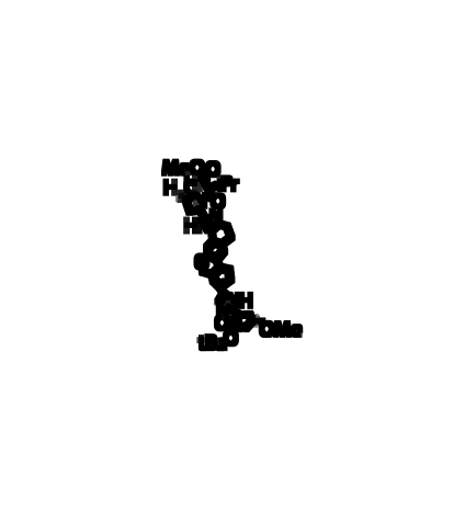 COC[C@H]1CC(c2ncc(-c3ccc4c(c3)COc3cc5c(cc3-4)CCc3nc(C4CCC(C)N4C(=O)C(NC(=O)OC)C(C)C)[nH]c3-5)[nH]2)N(C(=O)OC(C)(C)C)C1